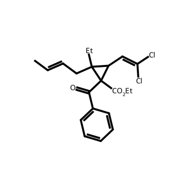 CC=CCC1(CC)C(C=C(Cl)Cl)C1(C(=O)OCC)C(=O)c1ccccc1